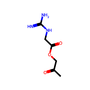 CC(=O)COC(=O)CNC(=N)N